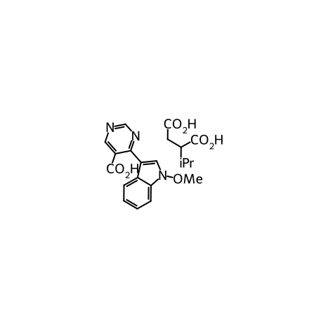 CC(C)C(CC(=O)O)C(=O)O.COn1cc(-c2ncncc2C(=O)O)c2ccccc21